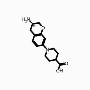 N[C@H]1COc2cc(N3CCC(C(=O)O)CC3)ccc2C1